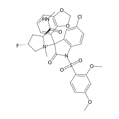 CNC(=O)[C@@H]1C[C@@H](F)C[N+]1(C)C1(c2cccc3c2OCO3)C(=O)N(S(=O)(=O)c2ccc(OC)cc2OC)c2ccc(Cl)cc21